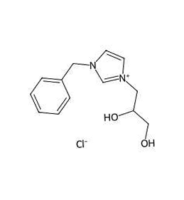 OCC(O)C[n+]1ccn(Cc2ccccc2)c1.[Cl-]